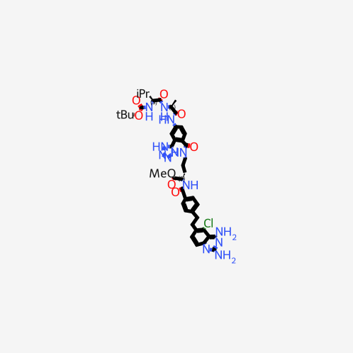 COC(=O)[C@H](CCCNC(=O)c1ccc(NC(=O)[C@H](C)NC(=O)[C@@H](NC(=O)OC(C)(C)C)C(C)C)cc1-c1nnn[nH]1)NC(=O)c1ccc(CCc2ccc3nc(N)nc(N)c3c2Cl)cc1